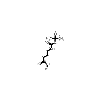 CC(C)(C)OC(=O)NCCCC(=O)OI